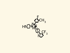 Cc1cc(-c2nc(N3CCNCC3)nc(N3CCN(c4ncccc4C(F)(F)F)CC3)n2)ccc1F